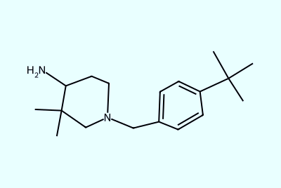 CC(C)(C)c1ccc(CN2CCC(N)C(C)(C)C2)cc1